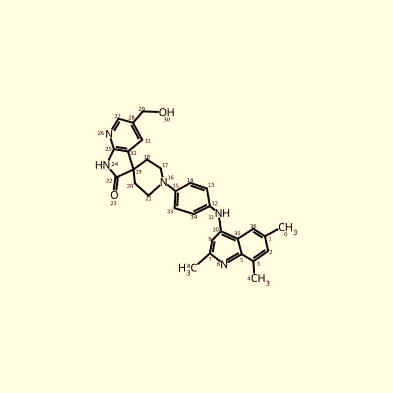 Cc1cc(C)c2nc(C)cc(Nc3ccc(N4CCC5(CC4)C(=O)Nc4ncc(CO)cc45)cc3)c2c1